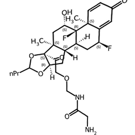 CCCC1O[C@@H]2C[C@H]3[C@@H]4C[C@H](F)C5=CC(=O)C=C[C@]5(C)[C@@]4(F)[C@@H](O)C[C@]3(C)[C@]2(C(=O)COCNC(=O)CN)O1